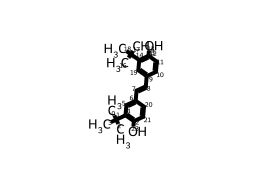 CC(C)(C)c1cc(/C=C/c2ccc(O)c(C(C)(C)C)c2)ccc1O